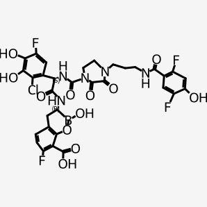 O=C(NCCCN1CCN(C(=O)N[C@H](C(=O)N[C@H]2Cc3ccc(F)c(C(=O)O)c3OB2O)c2cc(F)c(O)c(O)c2Cl)C(=O)C1=O)c1cc(F)c(O)cc1F